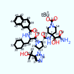 CC(C)(C)OC(=O)N1CCC(NC(=O)[C@@H]2C[C@H](n3nncc3C(C)(C)O)CN2C(=O)C(CC2CCCCC2)NC(=O)c2ccc3ccccc3c2)(C(O)C(N)=O)CC1